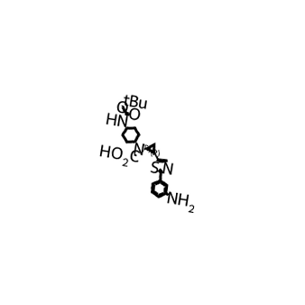 CC(C)(C)OC(=O)NC1CCC(N(C(=O)O)[C@@H]2C[C@H]2c2cnc(-c3cccc(N)c3)s2)CC1